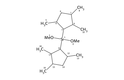 CO[Si](OC)(C1C(C)CC(C)C1C)C1C(C)CC(C)C1C